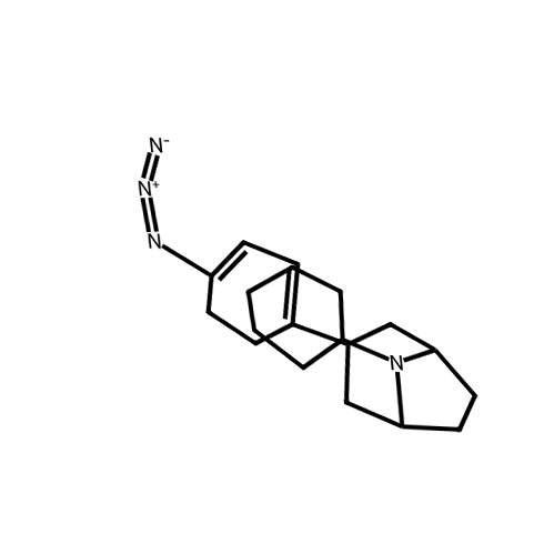 [N-]=[N+]=NC1=CC=C(C2CC3CCC(C2)N3C2CCCCC2)CC1